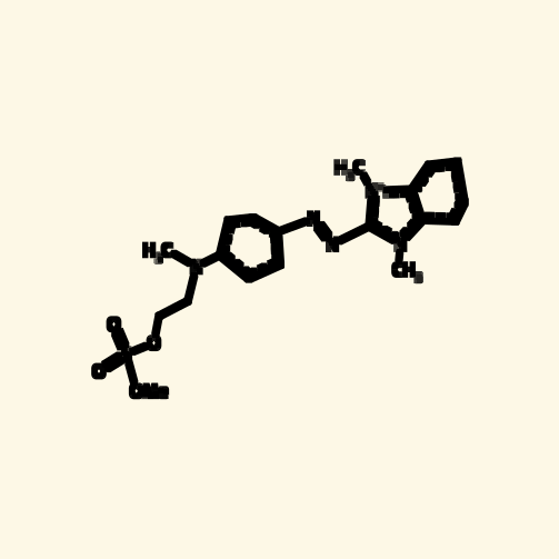 COS(=O)(=O)OCCN(C)c1ccc(N=Nc2n(C)c3ccccc3[n+]2C)cc1